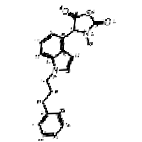 CN1C(=O)SC(=O)C1c1cccc2c1ccn2CCCc1ccccc1